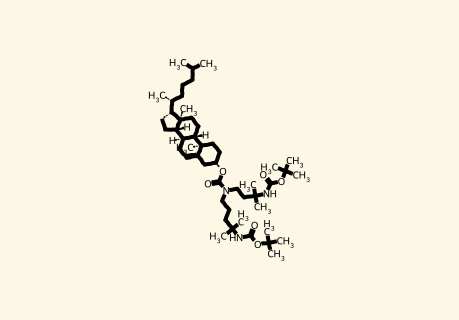 CC(C)CCC[C@@H](C)[C@H]1CC[C@H]2[C@@H]3CC=C4C[C@@H](OC(=O)N(CCCC(C)(C)NC(=O)OC(C)(C)C)CCC(C)(C)NC(=O)OC(C)(C)C)CC[C@]4(C)[C@H]3CC[C@]12C